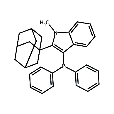 Cn1c(C23CC4CC(CC(C4)C2)C3)c(P(c2ccccc2)c2ccccc2)c2ccccc21